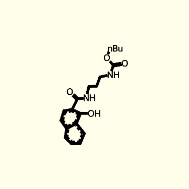 CCCCOC(=O)NCCCNC(=O)c1ccc2ccccc2c1O